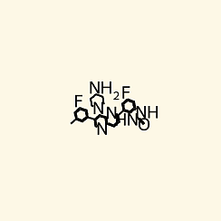 Cc1cc(F)cc(-c2cnc3ccc(-c4cc(F)cc5[nH]c(=O)[nH]c45)nc3c2N2CCC(N)CC2)c1